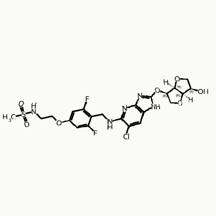 CS(=O)(=O)NCCOc1cc(F)c(CNc2nc3nc(O[C@@H]4CO[C@H]5[C@@H]4OC[C@H]5O)[nH]c3cc2Cl)c(F)c1